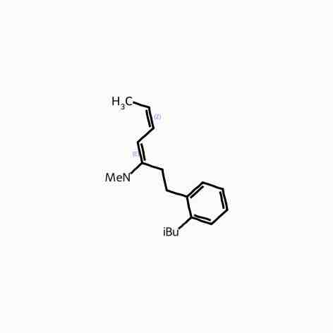 C/C=C\C=C(/CCc1ccccc1C(C)CC)NC